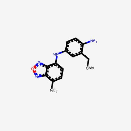 COCc1cc(Nc2ccc([N+](=O)[O-])c3nonc23)ccc1N